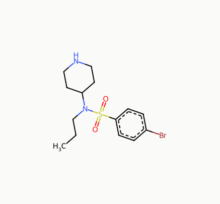 CCCN(C1CCNCC1)S(=O)(=O)c1ccc(Br)cc1